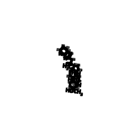 C[C@@]1(O)CC[C@H]2[C@H](CC[C@@H]3[C@@H]2CC[C@]2(C)[C@@H](C(=O)Cn4nc5cccnc5n4)CC[C@@H]32)C1